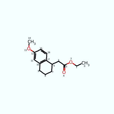 CCOC(=O)CC1CCCc2cc(OC)ccc21